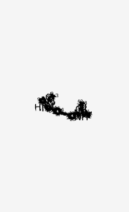 CC(C)(C)OC(=O)N1CCC[C@H]1c1nc(-c2ccc(C#Cc3ccc4[nH]c([C@@H]5CC6(CC6)CN5C(=O)OC(C)(C)C)nc4c3)cc2)c[nH]1